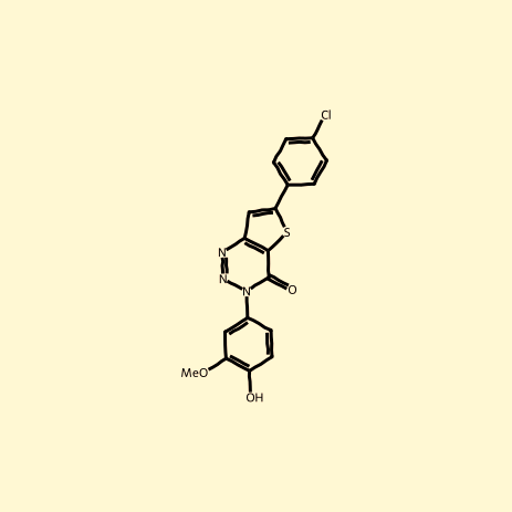 COc1cc(-n2nnc3cc(-c4ccc(Cl)cc4)sc3c2=O)ccc1O